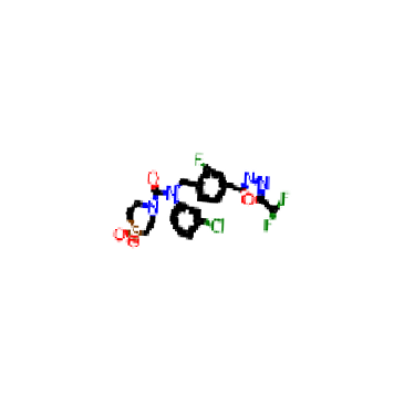 O=C(N1CCS(=O)(=O)CC1)N(Cc1ccc(-c2nnc(C(F)F)o2)cc1F)c1cccc(Cl)c1